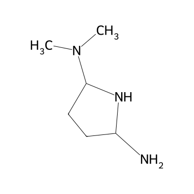 CN(C)C1CCC(N)N1